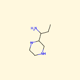 CCC(N)C1CNCC[N]1